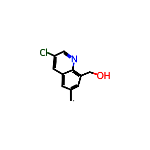 [CH2]c1cc(CO)c2ncc(Cl)cc2c1